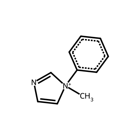 C[N+]1(c2ccccc2)C=CN=C1